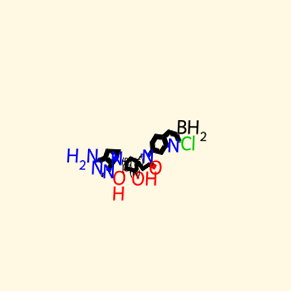 Bc1cc2ccc(N3C[C@@]4(CC3=O)C[C@@H](n3ccc5c(N)ncnc53)[C@H](O)[C@@H]4O)cc2nc1Cl